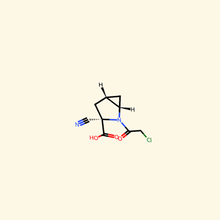 N#C[C@]1(C(=O)O)C[C@@H]2C[C@@H]2N1C(=O)CCl